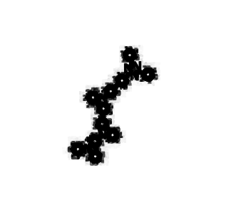 c1ccc(-c2nc(-c3ccccc3)nc(-c3ccc(-c4ccc(-n5c6ccccc6c6cc(-c7ccc8c(c7)c7ccccc7n8-c7ccc8c(c7)c7ccccc7n8-c7ccccc7)ccc65)cc4)cc3)n2)cc1